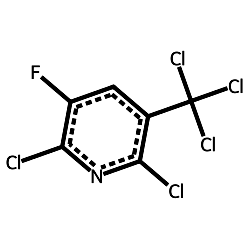 Fc1cc(C(Cl)(Cl)Cl)c(Cl)nc1Cl